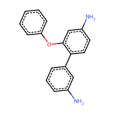 Nc1cccc(-c2ccc(N)cc2Oc2ccccc2)c1